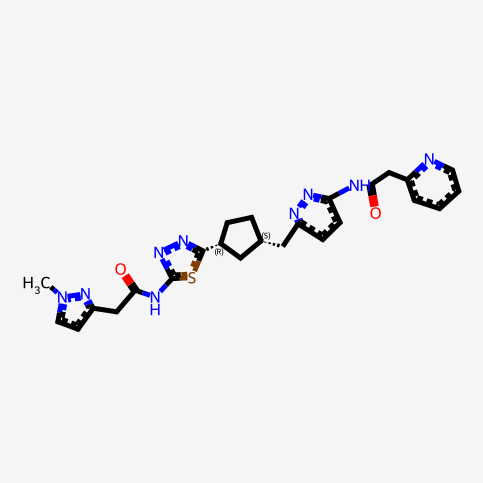 Cn1ccc(CC(=O)Nc2nnc([C@@H]3CC[C@H](Cc4ccc(NC(=O)Cc5ccccn5)nn4)C3)s2)n1